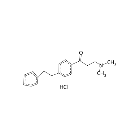 CN(C)CCC(=O)c1ccc(CCc2ccccc2)cc1.Cl